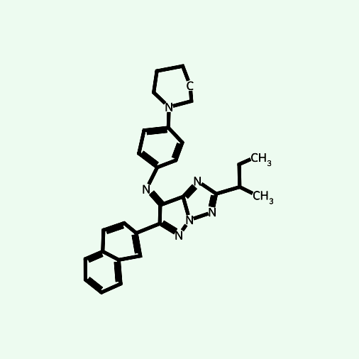 CCC(C)c1nc2n(n1)N=C(c1ccc3ccccc3c1)/C2=N/c1ccc(N2CCCCC2)cc1